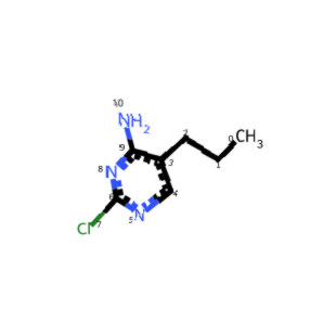 CCCc1cnc(Cl)nc1N